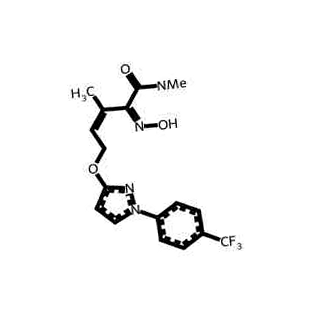 CNC(=O)C(=NO)C(C)=CCOc1ccn(-c2ccc(C(F)(F)F)cc2)n1